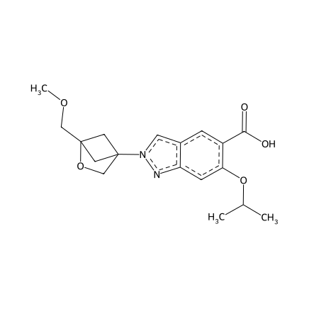 COCC12CC(n3cc4cc(C(=O)O)c(OC(C)C)cc4n3)(CO1)C2